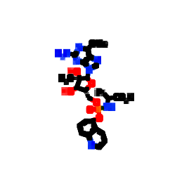 COc1nc(N)nc2c1ncn2C1O[C@H](COP(=O)(NC(C(=O)O)C(C)C)Oc2cccc3ncccc23)[C@@H](O)[C@@]1(C)O